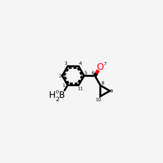 Bc1cccc(C(=O)C2CC2)c1